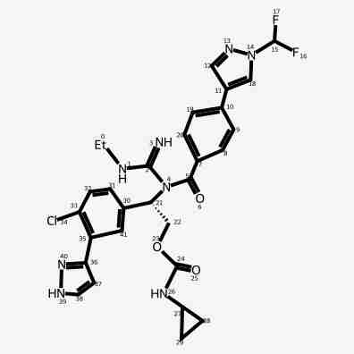 CCNC(=N)N(C(=O)c1ccc(-c2cnn(C(F)F)c2)cc1)[C@H](COC(=O)NC1CC1)c1ccc(Cl)c(-c2cc[nH]n2)c1